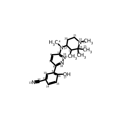 CC1C(N(C)c2ccc(-c3cc(C#N)ccc3O)nn2)CCN(C)C1(C)C